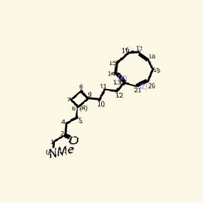 CNCC(=O)CC[C@H]1CCC1CCCC1=C/CCC=CC/C=C\1